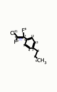 CCCc1ccc(/C(F)=C(\F)Cl)cc1